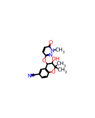 Cn1nc(OC2c3cc(C#N)ccc3OC(C)(C)C2O)ccc1=O